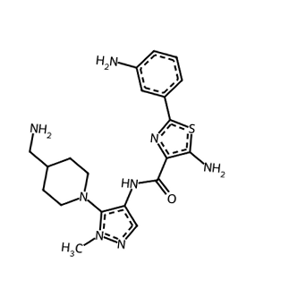 Cn1ncc(NC(=O)c2nc(-c3cccc(N)c3)sc2N)c1N1CCC(CN)CC1